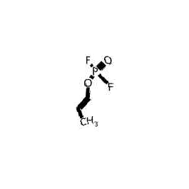 CC=COP(=O)(F)F